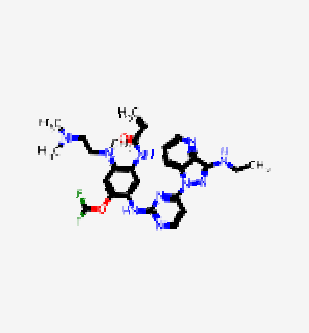 C=CC(=O)Nc1cc(Nc2nccc(-n3nc(NCC)c4ncccc43)n2)c(OC(F)F)cc1N(C)CCN(C)C